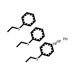 CCSc1ccccc1.CCSc1ccccc1.CCSc1ccccc1.F.F.F